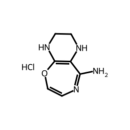 Cl.NC1=NC=COC2=C1NCCN2